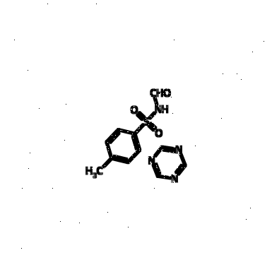 Cc1ccc(S(=O)(=O)NC=O)cc1.c1ncncn1